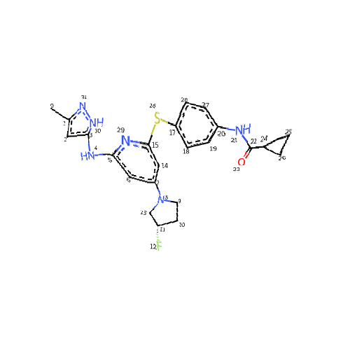 Cc1cc(Nc2cc(N3CC[C@H](F)C3)cc(Sc3ccc(NC(=O)C4CC4)cc3)n2)[nH]n1